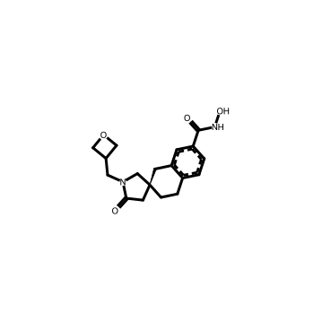 O=C(NO)c1ccc2c(c1)C[C@@]1(CC2)CC(=O)N(CC2COC2)C1